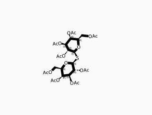 CC(=O)OC[C@H]1O[C@@H](S[C@@H]2O[C@H](COC(C)=O)[C@@H](OC(C)=O)[C@H](OC(C)=O)[C@H]2OC(C)=O)[C@H](OC(C)=O)[C@@H](OC(C)=O)[C@@H]1OC(C)=O